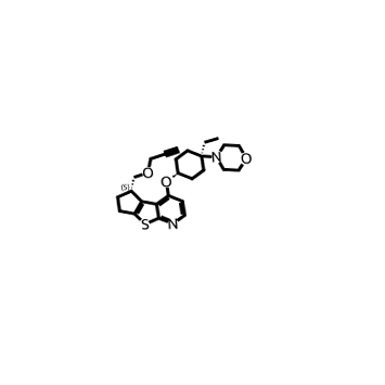 C#CCOC[C@H]1CCc2sc3nccc(O[C@H]4CC[C@](CC)(N5CCOCC5)CC4)c3c21